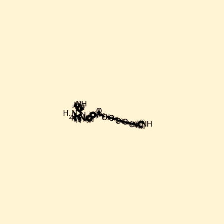 Nc1ncnc2c1c(-c1cnc3[nH]ccc3c1)nn2Cc1ccc2c(c1)CCN(C(=O)CCOCCOCCOCCOCCOCCN1CCNCC1)C2